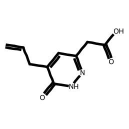 C=CCc1cc(CC(=O)O)n[nH]c1=O